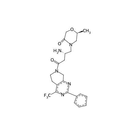 C[C@H]1CN(C[C@@H](N)CC(=O)N2CCc3c(nc(-c4ccccc4)nc3C(F)(F)F)C2)C(=O)CO1